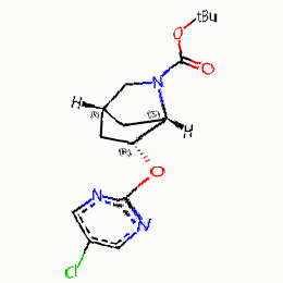 CC(C)(C)OC(=O)N1C[C@H]2C[C@@H](Oc3ncc(Cl)cn3)[C@@H]1C2